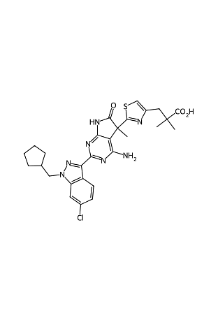 CC(C)(Cc1csc(C2(C)C(=O)Nc3nc(-c4nn(CC5CCCC5)c5cc(Cl)ccc45)nc(N)c32)n1)C(=O)O